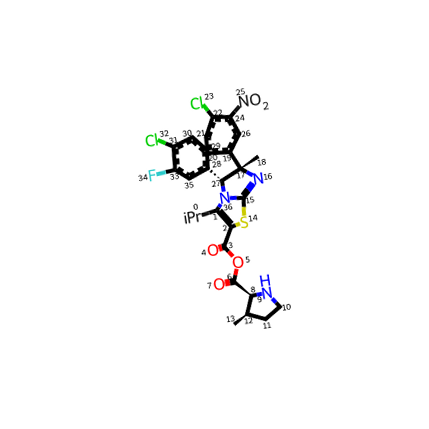 CC(C)C1=C(C(=O)OC(=O)[C@H]2NCC[C@H]2C)SC2=N[C@@](C)(c3ccc(Cl)c([N+](=O)[O-])c3)[C@@H](c3ccc(Cl)c(F)c3)N21